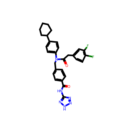 O=C(Nc1nn[nH]n1)c1ccc(CN(C(=O)Cc2ccc(F)c(F)c2)c2ccc(C3CCCCC3)cc2)cc1